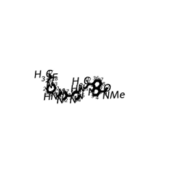 CNC(=O)c1ccnc2c([C@H](C)CNc3cc(-c4cnc(NC5CCN(CC(C)F)CC5)nc4)ncn3)cccc12